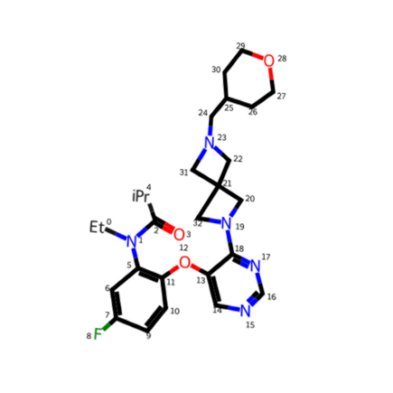 CCN(C(=O)C(C)C)c1cc(F)ccc1Oc1cncnc1N1CC2(CN(CC3CCOCC3)C2)C1